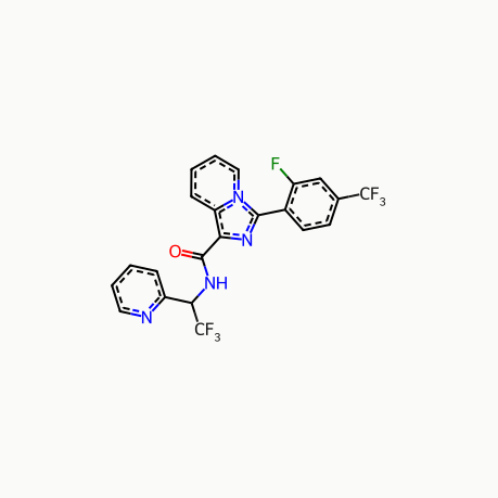 O=C(NC(c1ccccn1)C(F)(F)F)c1nc(-c2ccc(C(F)(F)F)cc2F)n2ccccc12